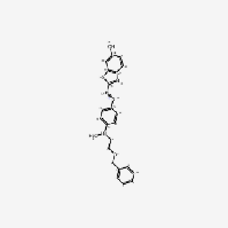 CN(CCOCc1ccccc1)c1ccc(/N=N/c2nc3ccc(O)cc3s2)cc1